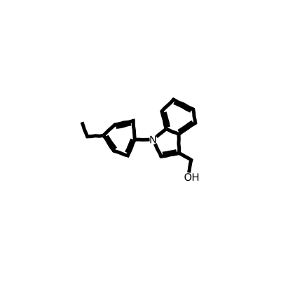 CCc1ccc(-n2cc(CO)c3ccccc32)cc1